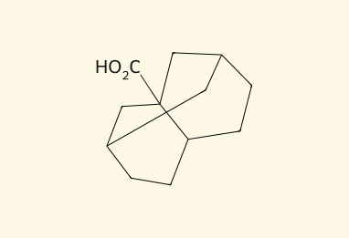 O=C(O)C12CC3CCC1CCC(C3)C2